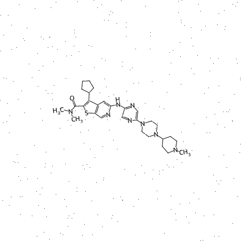 CN1CCC(N2CCN(c3cnc(Nc4cc5c(C6CCCC6)c(C(=O)N(C)C)sc5cn4)cn3)CC2)CC1